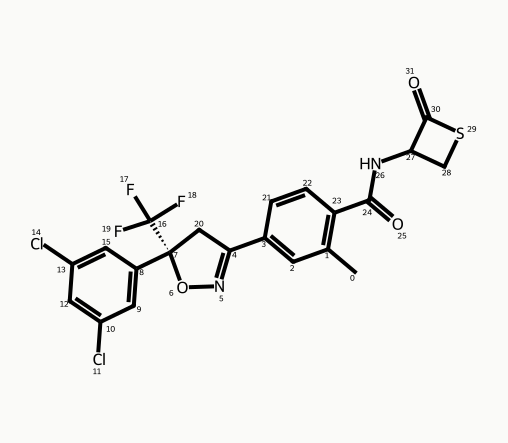 Cc1cc(C2=NO[C@](c3cc(Cl)cc(Cl)c3)(C(F)(F)F)C2)ccc1C(=O)NC1CSC1=O